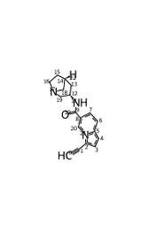 C#Cc1ccc2ccc(C(=O)N[C@@H]3C[C@H]4CCN(C4)C3)cn12